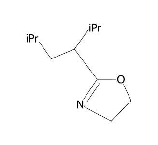 CC(C)CC(C1=NCCO1)C(C)C